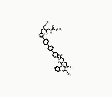 CCCN(Cc1ncc(-c2ccc(-c3ccc(-c4ccc5nc(CN(CCC)C(=O)[C@H](NC(=O)OC)c6ccccc6)[nH]c5c4)cc3)cc2)[nH]1)C(=O)CNC(=O)OC